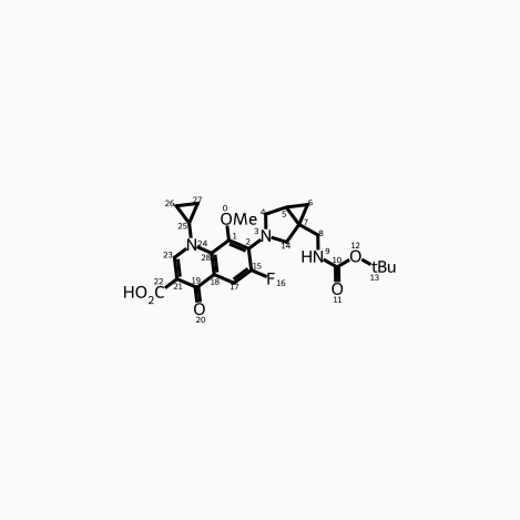 COc1c(N2CC3CC3(CNC(=O)OC(C)(C)C)C2)c(F)cc2c(=O)c(C(=O)O)cn(C3CC3)c12